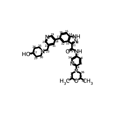 CC1CN(c2ccc(NC(=O)c3n[nH]c4ccc(-c5cncc(CN6CCC(O)CC6)c5)cc34)cn2)CC(C)O1